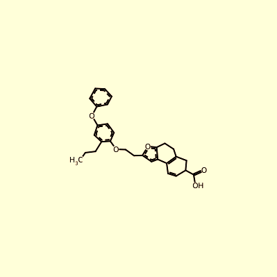 CCCc1cc(Oc2ccccc2)ccc1OCCc1cc2c(o1)CCC1=C2C=CC(C(=O)O)C1